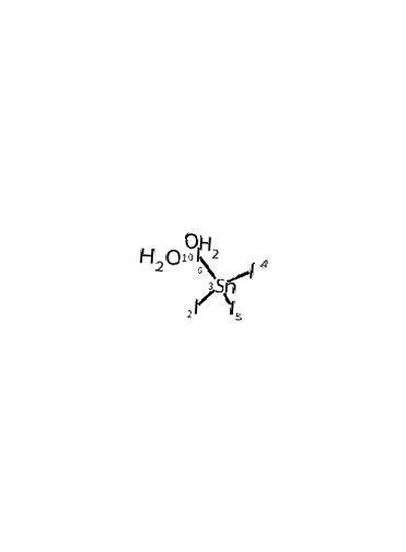 O.O.[I][Sn]([I])([I])[I]